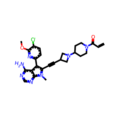 C=CC(=O)N1CCC(N2CC(C#Cc3c(-c4ccc(Cl)c(OC)n4)c4c(N)ncnc4n3C)C2)CC1